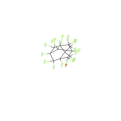 FC(F)(F)C1(C(F)(F)F)C2(F)C(F)(F)C3(F)C(F)(F)C(F)(C2(F)F)C(F)(F)C1(F)C3(F)F